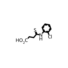 O=C(O)CCC(=S)Nc1ccccc1Cl